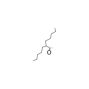 CCCCCC([C]=O)CCCCC